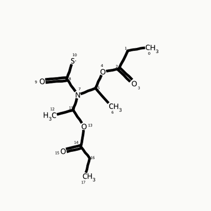 CCC(=O)OC(C)N(C(=O)[S])C(C)OC(=O)CC